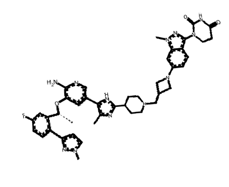 Cc1nc(C2CCN(CC3CN(c4ccc5c(N6CCC(=O)NC6=O)nn(C)c5c4)C3)CC2)[nH]c1-c1cnc(N)c(O[C@H](C)c2cc(F)ccc2-c2ccn(C)n2)c1